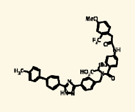 COc1ccc(CC(=O)Nc2ccc(C(=O)N(Cc3ccc(-c4n[nH]c(-c5ccc(-c6ccc(C)cc6)cc5)n4)cc3)C(C(=O)O)C(C)(C)C)cc2)c(C(F)(F)F)c1